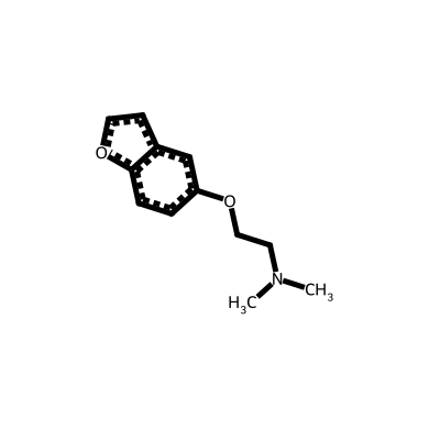 CN(C)CCOc1ccc2occc2c1